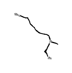 CN(CCCCCC(C)(C)C)CC(C)(C)C